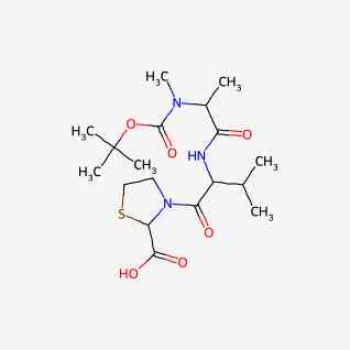 CC(C)C(NC(=O)C(C)N(C)C(=O)OC(C)(C)C)C(=O)N1CCSC1C(=O)O